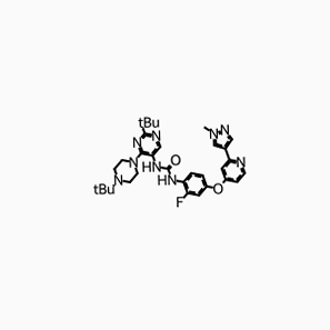 Cn1cc(-c2cc(Oc3ccc(NC(=O)Nc4cnc(C(C)(C)C)nc4N4CCN(C(C)(C)C)CC4)c(F)c3)ccn2)cn1